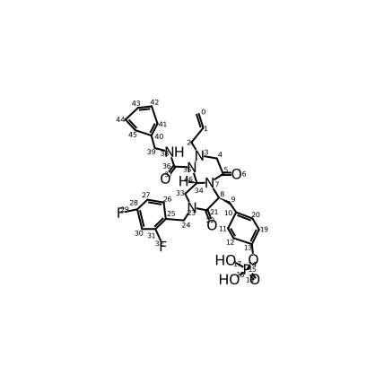 C=CCN1CC(=O)N2[C@@H](Cc3ccc(OP(=O)(O)O)cc3)C(=O)N(Cc3ccc(F)cc3F)C[C@@H]2N1C(=O)NCc1ccccc1